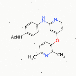 CC(=O)Nc1ccc(Nc2cc(Oc3ccc(C)nc3C)ccn2)cc1